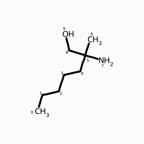 CCCCCC(C)(N)CO